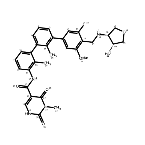 COc1cc(-c2cccc(-c3cccc(NC(=O)c4c[nH]c(=O)n(C)c4=O)c3C)c2C)cc(F)c1CN[C@H]1COC[C@@H]1O